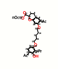 CCCCCCCCOC(=O)C1CCc2cc(C(C)=O)c(OCCCCCOc3ccc(C(C)=O)c(O)c3C(C)C)cc2O1